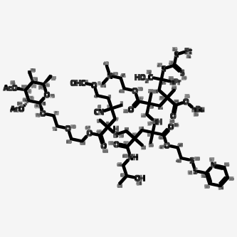 [C-]#[N+]C(C)(CCOC=O)CC(C)(BCC(C)(CC(C)(BCC(C)(CC(C)(CC(CCC)(SC(=S)SCC)C(=O)O)C(=O)OCCCC)C(=O)OCCN(C)C)C(=O)OCCSSc1ccccn1)C(=O)NCC(C)O)C(=O)OCCOCCO[C@@H]1O[C@H](C)[C@H](C)[C@H](OC(C)=O)[C@H]1OC(C)=O